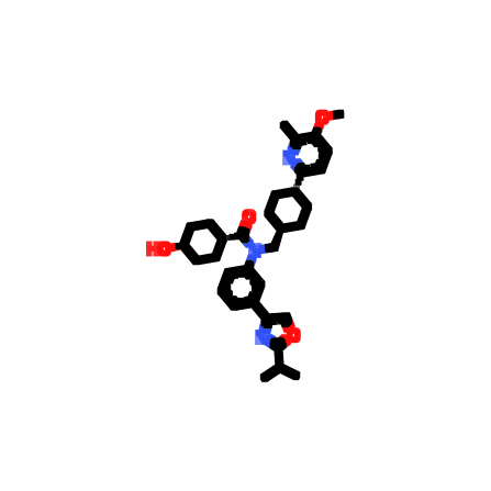 COc1ccc([C@H]2CC[C@H](CN(c3cccc(-c4coc(C(C)C)n4)c3)C(=O)[C@H]3CC[C@H](O)CC3)CC2)nc1C